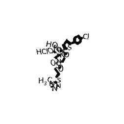 Cl.Cn1cnnc1SCCCS(=O)(=O)N1CCN(S(=O)(=O)c2ccc(-c3ccc(Cl)cc3)s2)[C@@H](C(=O)NO)C1